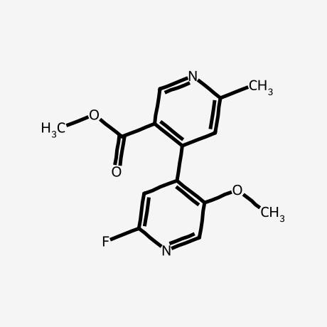 COC(=O)c1cnc(C)cc1-c1cc(F)ncc1OC